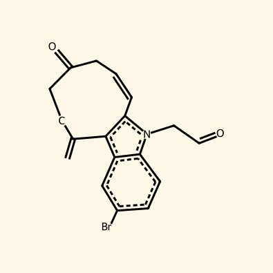 C=C1CCC(=O)C/C=C\c2c1c1cc(Br)ccc1n2CC=O